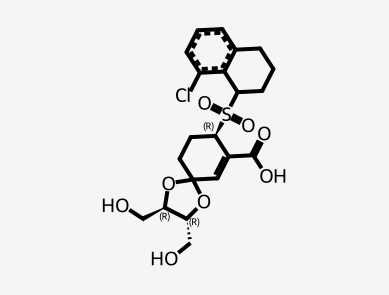 O=C(O)C1=CC2(CC[C@H]1S(=O)(=O)C1CCCc3cccc(Cl)c31)O[C@H](CO)[C@@H](CO)O2